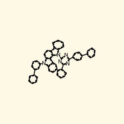 c1ccc(-c2ccc(-c3nc(-c4ccccc4)nc(-n4c5ccccc5c5ccc6c(c7ccccc7n6-c6cccc(-c7ccccc7)c6)c54)n3)cc2)cc1